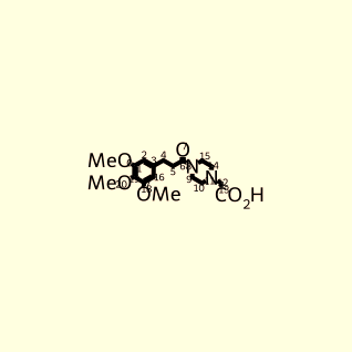 COc1cc(CCC(=O)N2CCN(CC(=O)O)CC2)cc(OC)c1OC